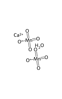 O.[Ca+2].[O]=[Mn](=[O])(=[O])[O-].[O]=[Mn](=[O])(=[O])[O-]